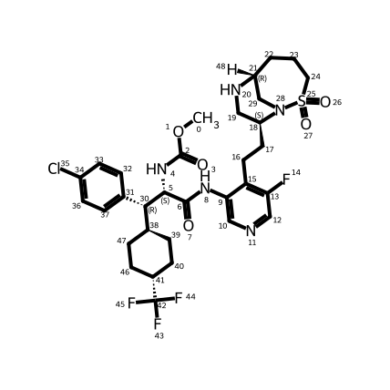 COC(=O)N[C@H](C(=O)Nc1cncc(F)c1CC[C@H]1CN[C@@H]2CCCS(=O)(=O)N1C2)[C@@H](c1ccc(Cl)cc1)[C@H]1CC[C@H](C(F)(F)F)CC1